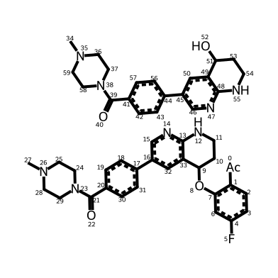 CC(=O)c1ccc(F)cc1OC1CCNc2ncc(-c3ccc(C(=O)N4CCN(C)CC4)cc3)cc21.CN1CCN(C(=O)c2ccc(-c3cnc4c(c3)C(O)CCN4)cc2)CC1